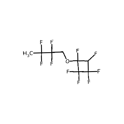 CC(F)(F)C(F)(F)COC1(F)C(F)C(F)(F)C1(F)F